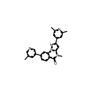 Cc1cncc(-c2ccc3c(=O)n(C)c4cc(-c5cc(C)nc(C)c5)nn4c3c2)c1